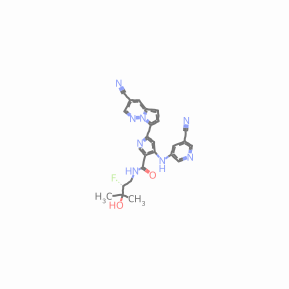 CC(C)(O)[C@H](F)CNC(=O)c1cnc(-c2ccc3cc(C#N)cnn23)cc1Nc1cncc(C#N)c1